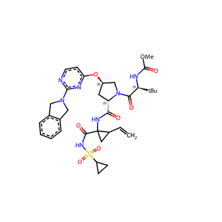 C=CC1CC1(NC(=O)[C@@H]1C[C@@H](Oc2ccnc(N3Cc4ccccc4C3)n2)CN1C(=O)[C@@H](NC(=O)OC)C(C)(C)C)C(=O)NS(=O)(=O)C1CC1